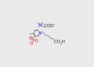 C[N+](C)(C)CC(=O)[O-].Cc1cc[n+](CCCCCC(=O)O)cc1S(=O)(=O)[O-]